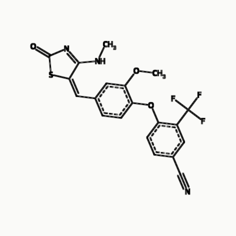 CNC1=NC(=O)SC1=Cc1ccc(Oc2ccc(C#N)cc2C(F)(F)F)c(OC)c1